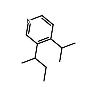 CCC(C)c1cnccc1C(C)C